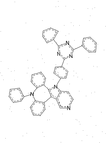 c1ccc(-c2nc(-c3ccccc3)nc(-c3ccc(-n4c5c(c6cnccc64)-c4ccccc4N(c4ccccc4)c4ccccc4-5)cc3)n2)cc1